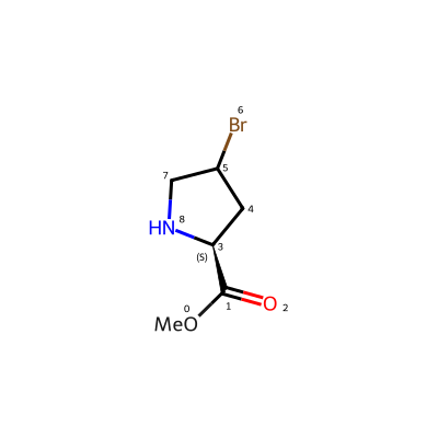 COC(=O)[C@@H]1CC(Br)CN1